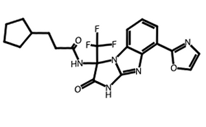 O=C(CCC1CCCC1)NC1(C(F)(F)F)C(=O)Nc2nc3c(-c4ncco4)cccc3n21